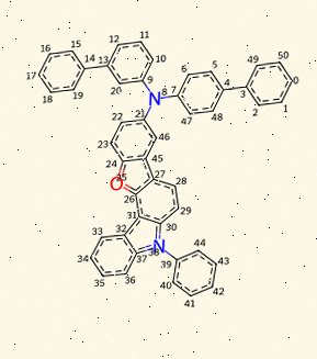 c1ccc(-c2ccc(N(c3cccc(-c4ccccc4)c3)c3ccc4oc5c(ccc6c5c5ccccc5n6-c5ccccc5)c4c3)cc2)cc1